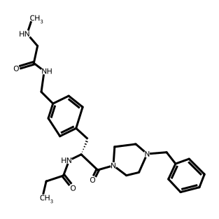 CCC(=O)N[C@H](Cc1ccc(CNC(=O)CNC)cc1)C(=O)N1CCN(Cc2ccccc2)CC1